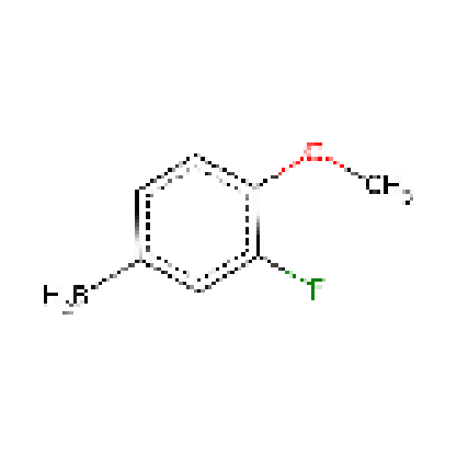 Bc1ccc(OC)c(F)c1